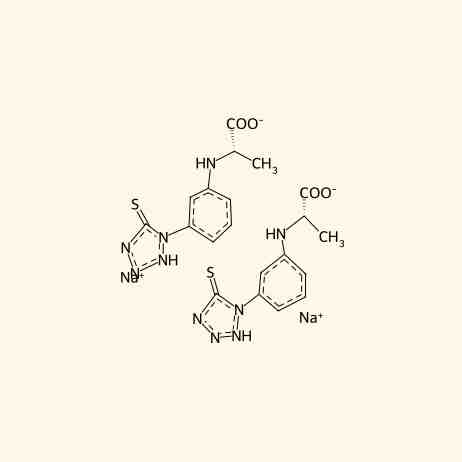 C[C@H](Nc1cccc(-n2[nH]nnc2=S)c1)C(=O)[O-].C[C@H](Nc1cccc(-n2[nH]nnc2=S)c1)C(=O)[O-].[Na+].[Na+]